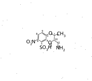 CC(Oc1ccc([N+](=O)[O-])cc1)C(CN)OS(=O)(=O)O